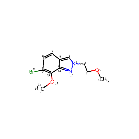 COCCn1cc2ccc(Br)c(OC)c2n1